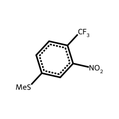 CSc1ccc(C(F)(F)F)c([N+](=O)[O-])c1